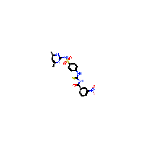 Cc1cc(C)nc(NS(=O)(=O)c2ccc(NC(=S)NC(=O)c3cccc([N+](=O)[O-])c3)cc2)n1